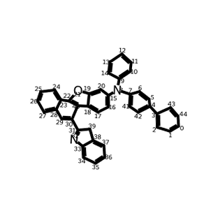 c1ccc(-c2ccc(N(c3ccccc3)c3ccc4c(c3)oc3c5ccccc5cc(C5=Nc6ccccc6C5)c43)cc2)cc1